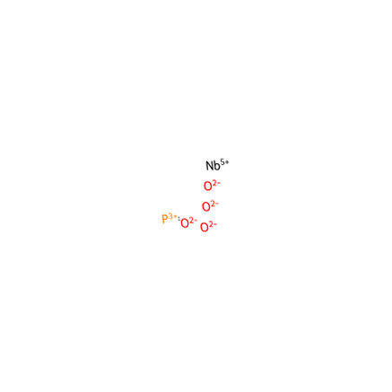 [Nb+5].[O-2].[O-2].[O-2].[O-2].[P+3]